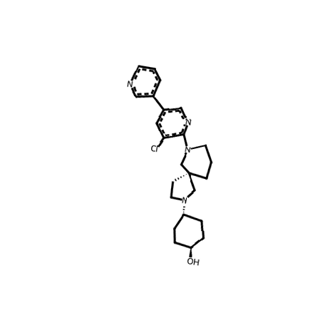 O[C@H]1CC[C@H](N2CC[C@]3(CCCN(c4ncc(-c5cccnc5)cc4Cl)C3)C2)CC1